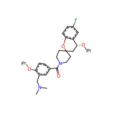 CC(C)Oc1ccc(C(=O)N2CCC3(CC2)C[C@@H](OC(C)C)c2cc(F)ccc2O3)cc1CN(C)C